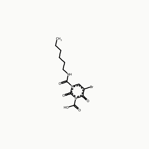 CCCCCCNC(=O)n1cc(Br)c(=O)n(C(=O)O)c1=O